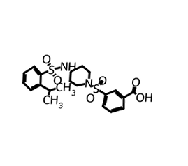 CC(C)c1ccccc1S(=O)(=O)NC1CCN(S(=O)(=O)c2cccc(C(=O)O)c2)CC1